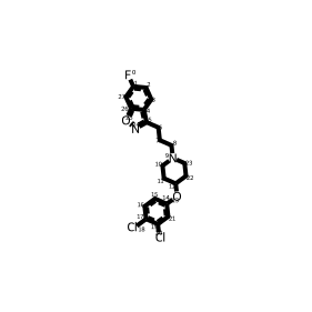 Fc1ccc2c(CCCN3CCC(Oc4ccc(Cl)c(Cl)c4)CC3)noc2c1